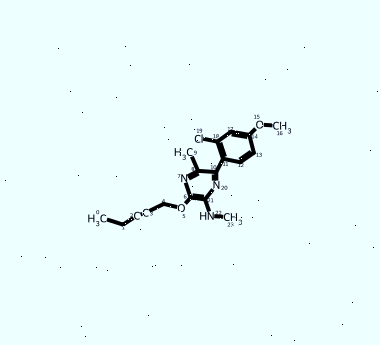 CCCCCOc1nc(C)c(-c2ccc(OC)cc2Cl)nc1NC